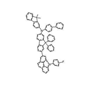 CC1(C)c2ccccc2-c2ccc(N(c3ccc(-c4ccccc4)cc3)c3ccc4c(c3)C(c3ccccc3)(c3ccccc3)c3cc(-c5cc6ccc7cccc8c7c6c(c5)n8-c5ccc(F)cc5)ccc3-4)cc21